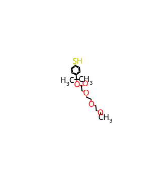 COCCOCCOCC(=O)OC(C)(C)c1ccc(S)cc1